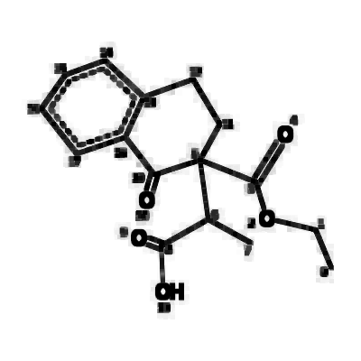 CCOC(=O)C1(C(C)C(=O)O)CCc2ccccc2C1=O